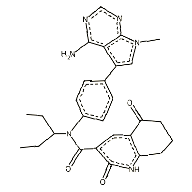 CCC(CC)N(C(=O)c1cc2c([nH]c1=O)CCCC2=O)c1ccc(-c2cn(C)c3ncnc(N)c23)cc1